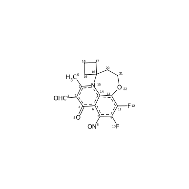 Cc1c(C=O)c(=O)c2c(N=O)c(F)c(F)c3c2n1C1(CCC1)CCO3